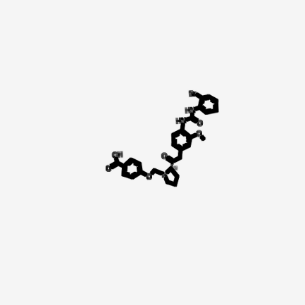 COc1cc(CC(=O)[C@@H]2CCCN2COc2ccc(C(=O)O)cc2)ccc1NC(=O)Nc1ccccc1Br